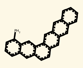 Pc1cccc2cc3ccc4cc5cc6ccccc6cc5cc4c3cc12